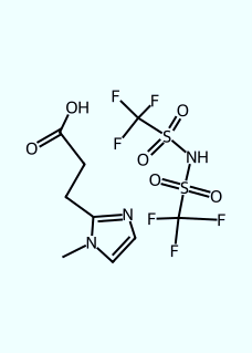 Cn1ccnc1CCC(=O)O.O=S(=O)(NS(=O)(=O)C(F)(F)F)C(F)(F)F